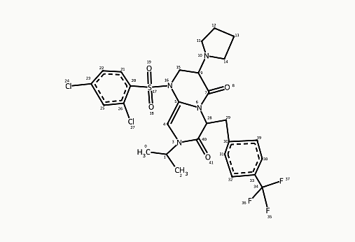 CC(C)N1C=C2N(C(=O)C(N3CCCC3)CN2S(=O)(=O)c2ccc(Cl)cc2Cl)C(Cc2ccc(C(F)(F)F)cc2)C1=O